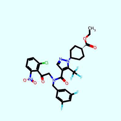 CCOC(=O)[C@H]1CC[C@H](n2ncc(C(=O)N(CC(=O)c3c(Cl)cccc3[N+](=O)[O-])Cc3cc(F)cc(F)c3)c2C(F)(F)F)CC1